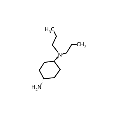 CCCN(CCC)[C@H]1CC[C@H](N)CC1